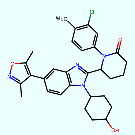 COc1ccc(N2C(=O)CCCC2c2nc3cc(-c4c(C)noc4C)ccc3n2C2CCC(O)CC2)cc1Cl